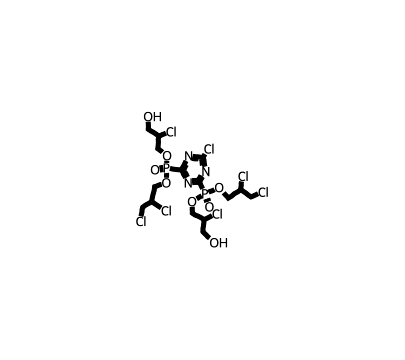 O=P(OCC(Cl)CO)(OCC(Cl)CCl)c1nc(Cl)nc(P(=O)(OCC(Cl)CO)OCC(Cl)CCl)n1